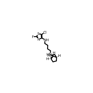 Fc1nc(NCCCCN[C@H]2[C@@H]3CC[C@H]2NC3)c(Cl)s1